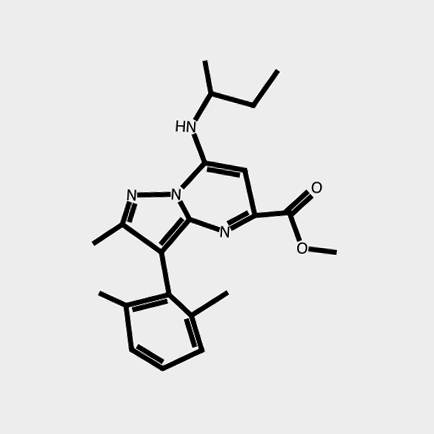 CCC(C)Nc1cc(C(=O)OC)nc2c(-c3c(C)cccc3C)c(C)nn12